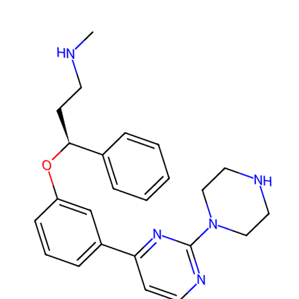 CNCC[C@H](Oc1cccc(-c2ccnc(N3CCNCC3)n2)c1)c1ccccc1